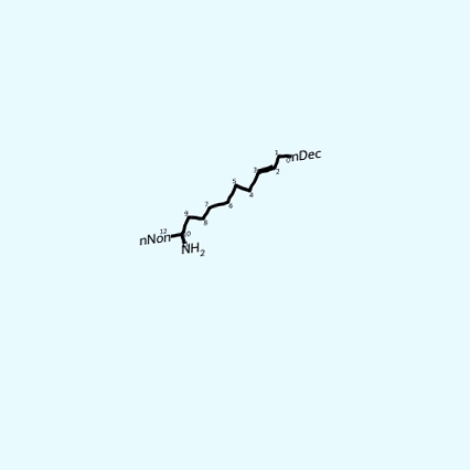 CCCCCCCCCCC/C=C/CCCCCCC(N)CCCCCCCCC